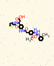 COc1cc(CC(=O)Nc2ccc(C(CC(=O)O)NC(=O)c3cccs3)cc2)ccc1NC(=O)Nc1ccccc1C